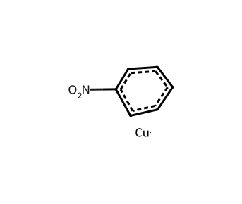 O=[N+]([O-])c1ccccc1.[Cu]